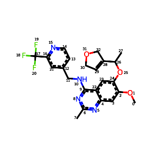 COc1cc2nc(C)nc(NCc3ccnc(C(F)(F)F)c3)c2cc1OC(C)C1=CCOC1